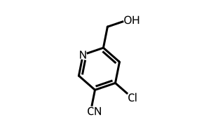 N#Cc1cnc(CO)cc1Cl